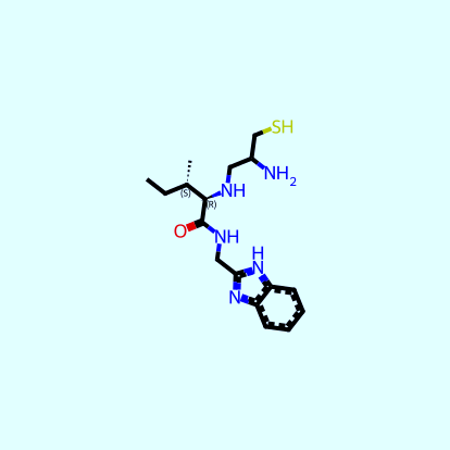 CC[C@H](C)[C@@H](NCC(N)CS)C(=O)NCc1nc2ccccc2[nH]1